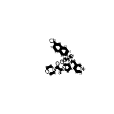 C[C@@H](C(=O)N1CCOCC1)N1CC[C@H](N(Cc2cccnc2)S(=O)(=O)c2ccc3cc(Cl)ccc3c2)C1=O